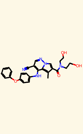 Cc1c(C(=O)N(CCO)CCO)cn2ncc(C#N)c(Nc3ccc(Oc4ccccc4)cc3)c12